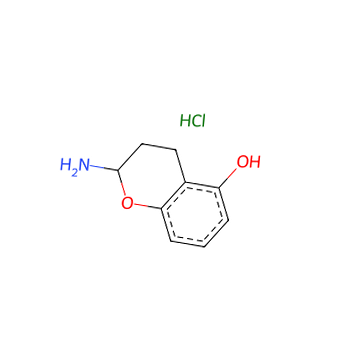 Cl.NC1CCc2c(O)cccc2O1